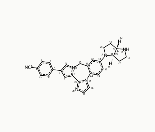 N#Cc1ccc(-c2cc3n(c2)Cc2cc(N4CC[C@@H]5NCC[C@H]54)ccc2-n2ccnc2-3)cc1